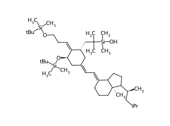 CC(C)C[C@H](C)C1CCC2/C(=C/C=C3\C[C@@H](CC(C)(C)[Si](C)(C)O)/C(=C/CCO[Si](C)(C)C(C)(C)C)[C@H](O[Si](C)(C)C(C)(C)C)C3)CCC[C@@]21C